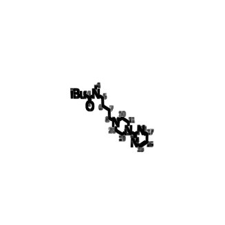 CCC(C)C(=O)N(C)CCCCN1CCN(c2ncccn2)CC1